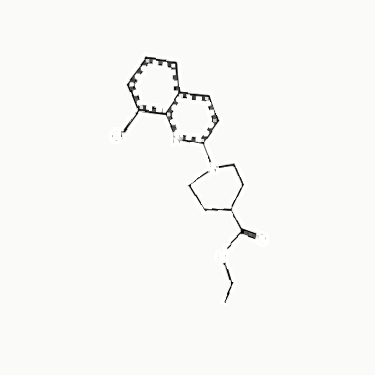 CCOC(=O)C1CCN(c2ccc3cccc(Cl)c3n2)CC1